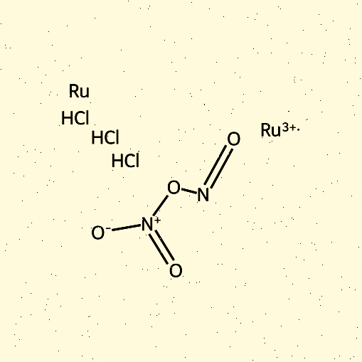 Cl.Cl.Cl.O=NO[N+](=O)[O-].[Ru+3].[Ru]